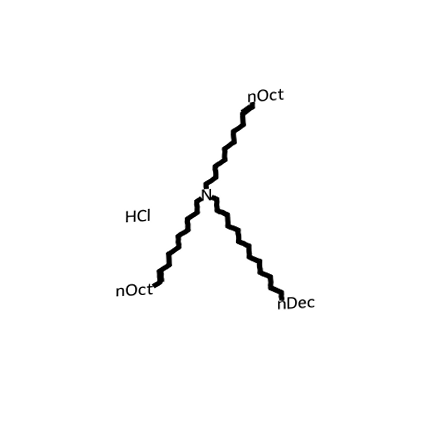 CCCCCCCCC=CCCCCCCCCN(CCCCCCCCC=CCCCCCCCC)CCCCCCCCCCCCCCCCCCCCCCC.Cl